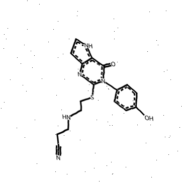 N#CCCNCCSc1nc2cc[nH]c2c(=O)n1-c1ccc(O)cc1